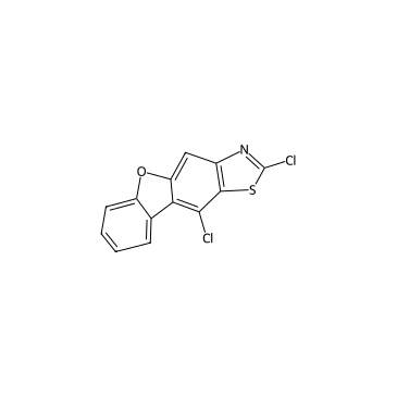 Clc1nc2cc3oc4ccccc4c3c(Cl)c2s1